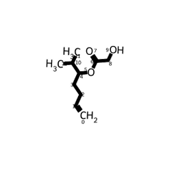 C=CCCC(OC(=O)CO)C(C)C